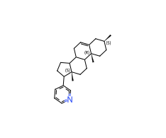 C[C@H]1CC[C@@]2(C)C(=CCC3C4CCC(c5cccnc5)[C@@]4(C)CCC32)C1